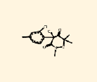 Cc1ccc(C2(Cl)C(=O)N(C)OC(C)(C)C2=O)c(Cl)c1